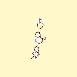 Cc1cn2cc(-c3cc(=O)n4cc(C5=CCNCC5)ccc4n3)cc2c(C)n1